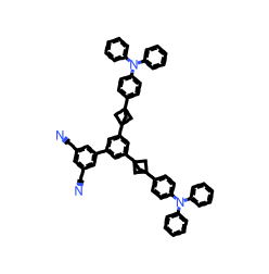 N#Cc1cc(C#N)cc(-c2cc(C34CC(c5ccc(N(c6ccccc6)c6ccccc6)cc5)(C3)C4)cc(C34CC(c5ccc(N(c6ccccc6)c6ccccc6)cc5)(C3)C4)c2)c1